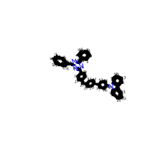 c1ccc(-c2nc(-c3ccccc3)nc(-c3ccc(Cc4ccc(-c5ccc(-n6c7ccccc7c7ccccc76)cc5)cc4)cc3)n2)cc1